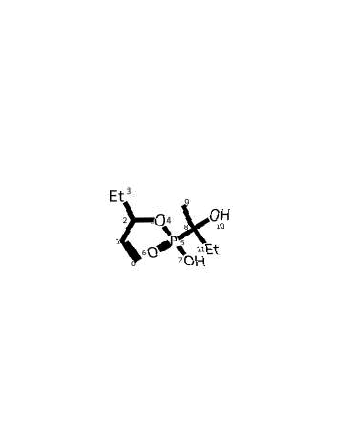 C=CC(CC)OP(=O)(O)C(C)(O)CC